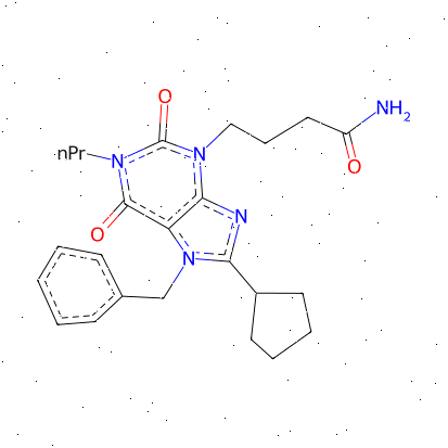 CCCn1c(=O)c2c(nc(C3CCCC3)n2Cc2ccccc2)n(CCCC(N)=O)c1=O